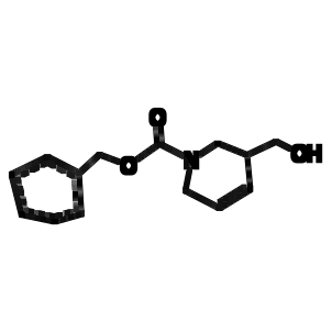 O=C(OCc1ccccc1)N1CC=CC(CO)C1